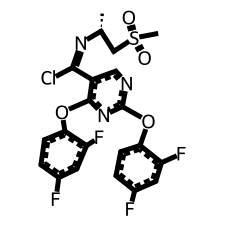 C[C@H](CS(C)(=O)=O)/N=C(/Cl)c1cnc(Oc2ccc(F)cc2F)nc1Oc1ccc(F)cc1F